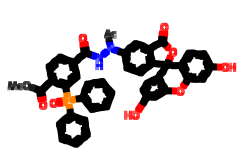 COC(=O)c1ccc(C(=O)NN(C(C)=O)c2ccc3c(c2)C(=O)OC32c3ccc(O)cc3Oc3cc(O)ccc32)cc1P(=O)(c1ccccc1)c1ccccc1